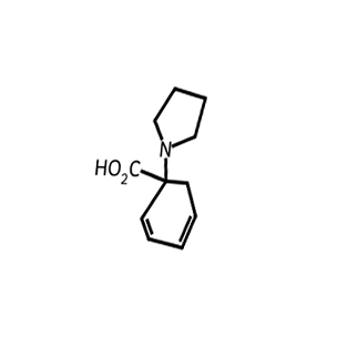 O=C(O)C1(N2CCCC2)C=CC=CC1